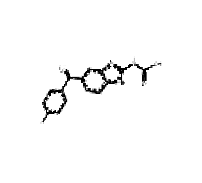 C=C(c1ccc(F)cc1)c1ccc2[nH]c(NC(=O)O)nc2c1